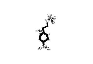 O=[N+]([O-])c1ccc(CCOS(=O)([O-])=S)cc1.[Na+]